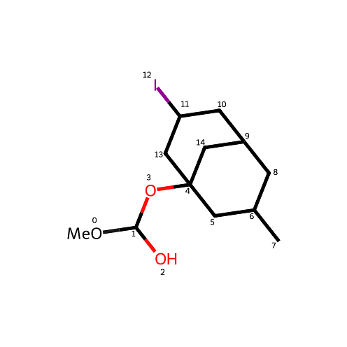 COC(O)OC12CC(C)CC(CC(I)C1)C2